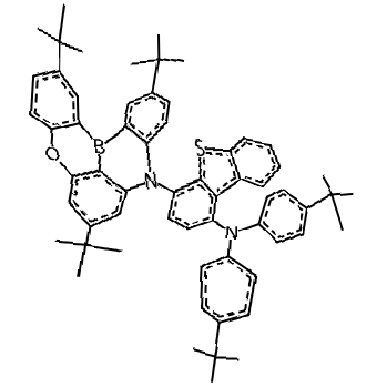 CC(C)(C)c1ccc(N(c2ccc(C(C)(C)C)cc2)c2ccc(N3c4ccc(C(C)(C)C)cc4B4c5cc(C(C)(C)C)ccc5Oc5cc(C(C)(C)C)cc3c54)c3sc4ccccc4c23)cc1